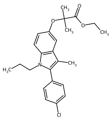 CCCn1c(-c2ccc(Cl)cc2)c(C)c2cc(OC(C)(C)C(=O)OCC)ccc21